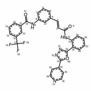 O=C(/C=C/c1cccc(NC(=O)c2cccc(C(F)(F)F)c2)c1)Nc1ccccc1-c1nnc(-c2ccncc2)o1